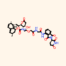 C[C@H]1C=C2C=C[C@H](C)[C@H](CC[C@@H]3C[C@@H](O)CC(=O)O3)[C@H]2[C@@H](OC(=O)NCCOCC(=O)NCC(=O)Nc2cccc3c2C(=O)N(C2CCC(=O)NC2=O)C3=O)C1